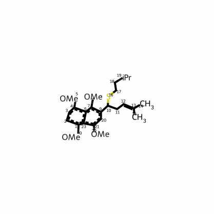 COc1ccc(OC)c2c(OC)c(C(CC=C(C)C)SCCC(C)C)cc(OC)c12